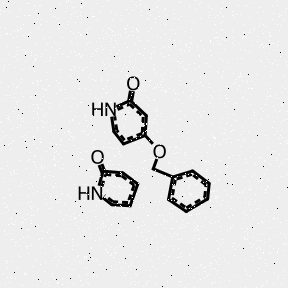 O=c1cc(OCc2ccccc2)cc[nH]1.O=c1cccc[nH]1